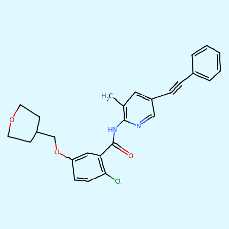 Cc1cc(C#Cc2ccccc2)cnc1NC(=O)c1cc(OCC2CCOCC2)ccc1Cl